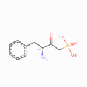 N[C@@H](Cc1ccccc1)C(=O)CP(=O)(O)O